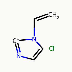 C=CN1[C+]=NC=C1.[Cl-]